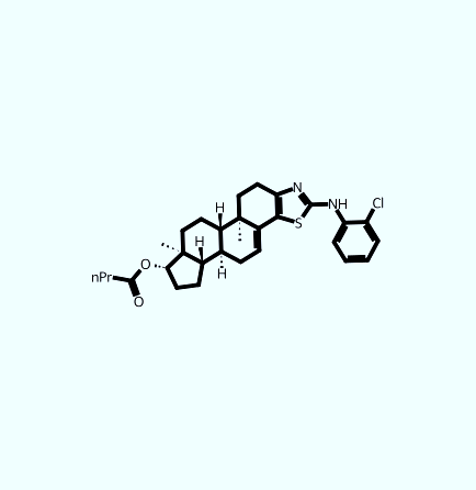 CCCC(=O)O[C@H]1CC[C@H]2[C@@H]3CC=C4c5sc(Nc6ccccc6Cl)nc5CC[C@]4(C)[C@H]3CC[C@]12C